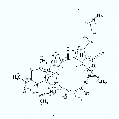 CC[C@H]1OC(=O)[C@H](C)C(=O)[C@H](C)[C@@H](OC2OC(C)CC(N(C)C)C2OC(C)=O)[C@@](C)(OC)C[C@@H](C)C(=O)[C@H](C)[C@H]2N(CCCCN=[N+]=[N-])C(=O)O[C@]12C